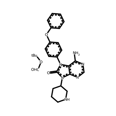 CC(C)(C)OC=O.Nc1ncnc2c1n(-c1ccc(Oc3ccccc3)cc1)c(=O)n2C1CCCNC1